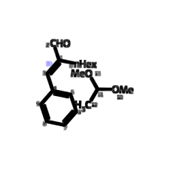 CCCCCC/C(C=O)=C\c1ccccc1.COC(C)OC